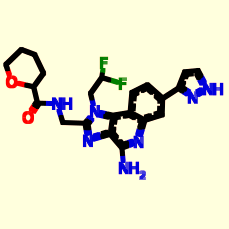 Nc1nc2cc(-c3cc[nH]n3)ccc2c2c1nc(CNC(=O)C1CCCCO1)n2CC(F)F